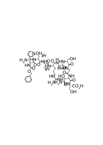 CC[C@H](C)[C@H](NC(=O)[C@@H](CCCNC(=N)N)NC(=O)[C@H](CC(C)C)NC(=O)C(NC(=O)[C@@H](NC(=O)OCc1ccccc1)[C@H](N)c1cccnc1)[C@H](O)C(C)C)C(=O)N[C@H](C(=O)NCC(=O)NC(C(=O)N[C@@H](CO)C(=O)O)[C@H](O)C(N)=O)[C@H](C)O